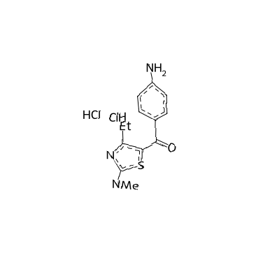 CCc1nc(NC)sc1C(=O)c1ccc(N)cc1.Cl.Cl